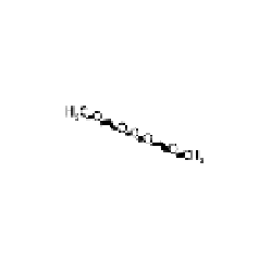 CCOCCCOCOCOCCCOCC